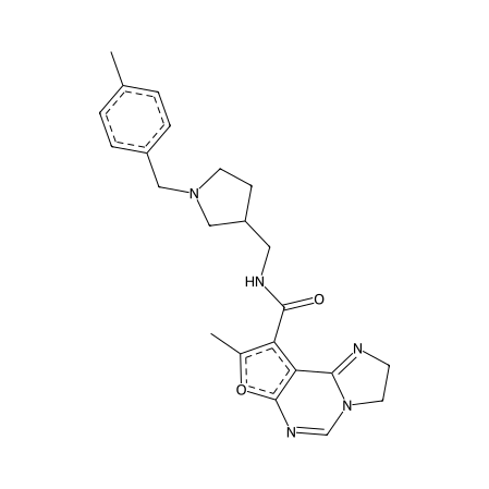 Cc1ccc(CN2CCC(CNC(=O)c3c(C)oc4c3C3=NCCN3C=N4)C2)cc1